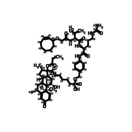 CCC(=O)O[C@]1(C(=O)SCCCCP(=O)(O)OCc2ccc(NC(=O)[C@H](CCCNC(N)=O)NC(=O)[C@@H](NC(=O)COC3C#CCCCCC3)C(C)C)cc2)[C@H](C)C[C@H]2[C@@H]3C[C@H](F)C4=CC(=O)C=C[C@]4(C)[C@@]3(F)[C@@H](O)C[C@@]21C